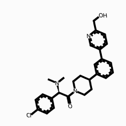 CN(C)[C@@H](C(=O)N1CCC(c2cccc(-c3ccc(CO)nc3)c2)CC1)c1ccc(Cl)cc1